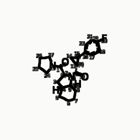 O=C([C@@H]1C[C@@H]2CCCC[C@@H]2N1C(=O)[C@@H]1C[C@H]1c1ccc(F)cc1)N1CCCC1